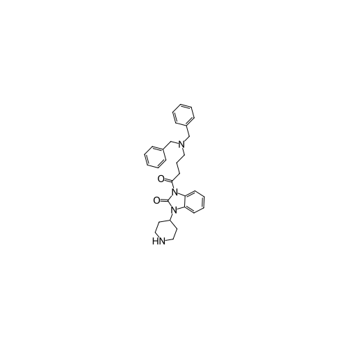 O=C(CCCN(Cc1ccccc1)Cc1ccccc1)n1c(=O)n(C2CCNCC2)c2ccccc21